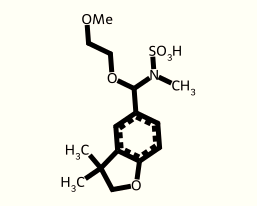 COCCOC(c1ccc2c(c1)C(C)(C)CO2)N(C)S(=O)(=O)O